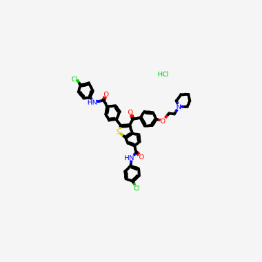 Cl.O=C(Nc1ccc(Cl)cc1)c1ccc(-c2sc3cc(C(=O)Nc4ccc(Cl)cc4)ccc3c2C(=O)c2ccc(OCCN3CCCCC3)cc2)cc1